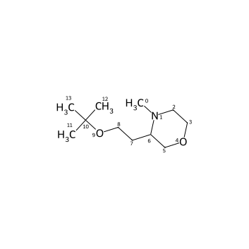 CN1CCOCC1CCOC(C)(C)C